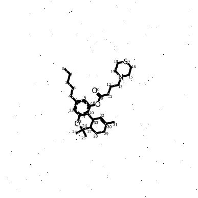 CCCCCc1cc(OC(=O)CCCN2CCSCC2)c2c(c1)OC(C)(C)C1CCC(C)=CC21